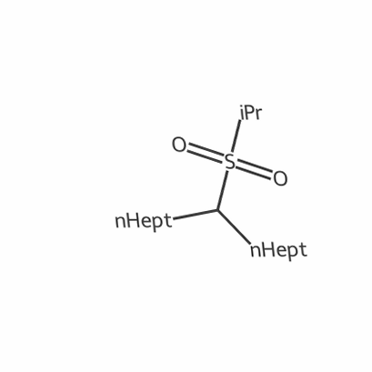 CCCCCCCC(CCCCCCC)S(=O)(=O)C(C)C